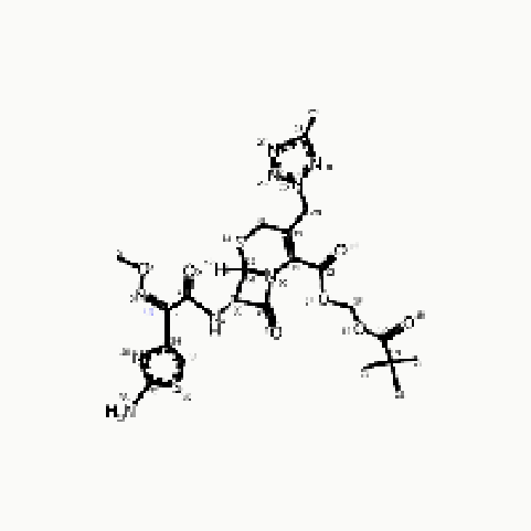 CO/N=C(\C(=O)N[C@@H]1C(=O)N2C(C(=O)OCOC(=O)C(C)(C)C)=C(Cn3nnc(C)n3)CS[C@@H]12)c1csc(N)n1